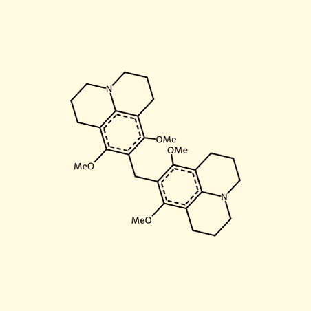 COc1c(Cc2c(OC)c3c4c(c2OC)CCCN4CCC3)c(OC)c2c3c1CCCN3CCC2